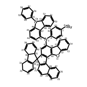 CC(C)(C)c1ccc(N(c2cc3c(c4oc5ccccc5c24)-c2c(ccc4ccccc24)C32C3=C(CCC=C3)C3C=CC=CC32)c2cccc3c2c2ccccc2n3-c2ccccc2)cc1